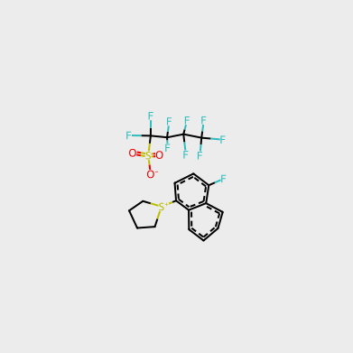 Fc1ccc([S+]2CCCC2)c2ccccc12.O=S(=O)([O-])C(F)(F)C(F)(F)C(F)(F)C(F)(F)F